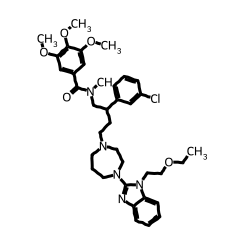 CCOCCn1c(N2CCCN(CCC(CN(C)C(=O)c3cc(OC)c(OC)c(OC)c3)c3cccc(Cl)c3)CC2)nc2ccccc21